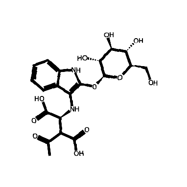 CC(=O)C(C(=O)O)[C@H](Nc1c(O[C@@H]2O[C@H](CO)[C@@H](O)[C@H](O)[C@H]2O)[nH]c2ccccc12)C(=O)O